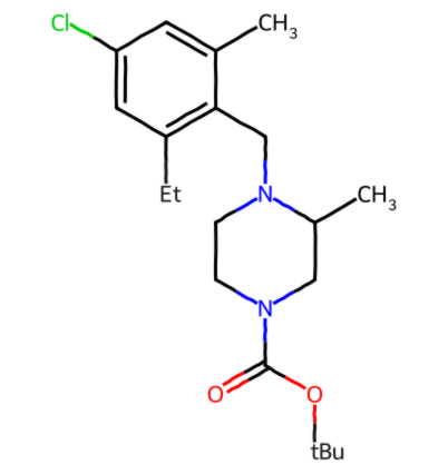 CCc1cc(Cl)cc(C)c1CN1CCN(C(=O)OC(C)(C)C)CC1C